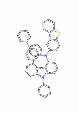 c1ccc(-c2cccc(N(c3ccc4sc5ccccc5c4c3)c3cccc4c3c3c(-c5ccccc5)cccc3n4-c3ccccc3)c2)cc1